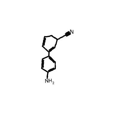 N#CC1C=C(c2ccc(N)cc2)C=CC1